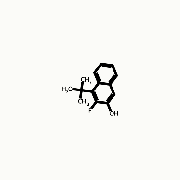 CC(C)(C)c1c(F)c(O)cc2ccccc12